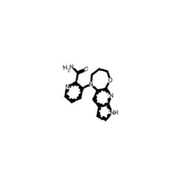 NC(=O)c1ncccc1N1CCCOc2nc3[nH]ccc3cc21